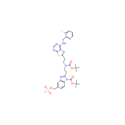 CC(C)(C)OC(=O)N(CCc1nc2c(NCc3ncccc3F)ncnc2s1)CCc1nc2cc(COS(C)(=O)=O)ccc2n1C(=O)OC(C)(C)C